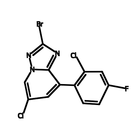 Fc1ccc(-c2cc(Cl)cn3nc(Br)nc23)c(Cl)c1